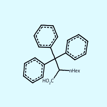 CCCCCCC(C(=O)O)C(c1ccccc1)(c1ccccc1)c1ccccc1